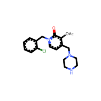 CC(=O)Oc1c(CN2CCNCC2)ccn(Cc2ccccc2Cl)c1=O